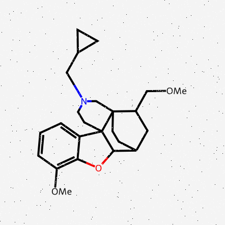 COCC1CC2CCC13CN(CC1CC1)CCC31c3cccc(OC)c3OC21